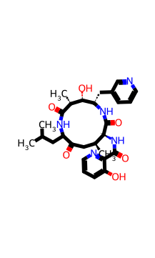 CC(C)CC1NC(=O)[C@H](C)[C@H](O)[C@H](Cc2cccnc2)NC(=O)[C@@H](NC(=O)c2ncccc2O)[C@@H](C)CC1=O